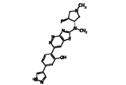 CN1C[C@H](F)[C@@H](N(C)c2nc3nnc(-c4ccc(-c5cn[nH]c5)cc4O)cc3s2)C1